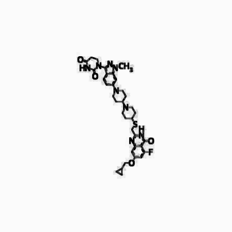 Cn1nc(N2CCC(=O)NC2=O)c2ccc(N3CCC(N4CCC(SCc5nc6cc(OCC7CC7)cc(F)c6c(=O)[nH]5)CC4)CC3)cc21